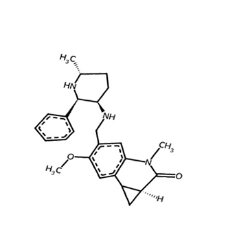 COc1cc2c(cc1CN[C@@H]1CC[C@@H](C)N[C@@H]1c1ccccc1)N(C)C(=O)[C@H]1CC21